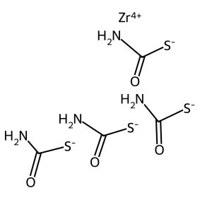 NC(=O)[S-].NC(=O)[S-].NC(=O)[S-].NC(=O)[S-].[Zr+4]